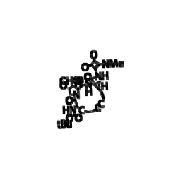 CNc1c(NC(=O)[C@@]23C[C@H]2/C=C\CCCCC[C@H](NC(=O)OC(C)(C)C)C(=O)N2C[C@H](OC=O)C[C@H]2C(=O)N3)c(=O)c1=O